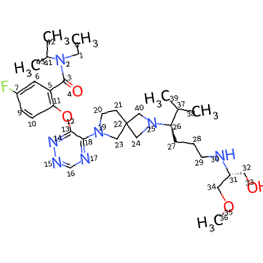 CCN(C(=O)c1cc(F)ccc1Oc1nncnc1N1CCC2(C1)CN([C@H](CCCN[C@H](CO)COC)C(C)C)C2)C(C)C